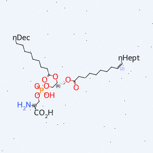 CCCCCCC/C=C\CCCCCCCC(=O)OC[C@H](COP(=O)(O)OC[C@H](N)C(=O)O)OC(=O)CCCCCCCCCCCCCCCCCC